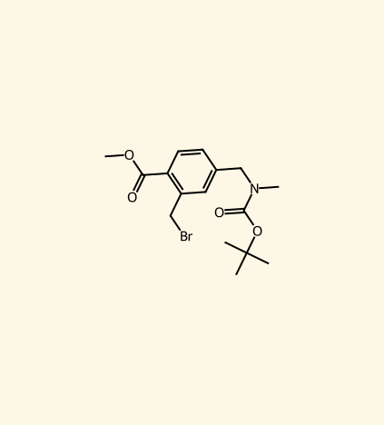 COC(=O)c1ccc(CN(C)C(=O)OC(C)(C)C)cc1CBr